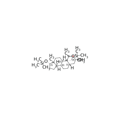 C[C@H]1C[C@@H](O)C[C@@H]2CC[C@H]3[C@@H]4CC[C@H](O[Si](C)(C)C)[C@@]4(C)CC[C@@H]3[C@]21CO[Si](C)(C)C